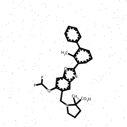 Cc1c(-c2ccccc2)cccc1-c1nc2cc(CN3CCCC3(C)C(=O)O)c(OC(F)F)cc2o1